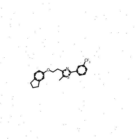 Cc1sc(-c2cccc(C(F)(F)F)c2)nc1CCOc1ccc2c(c1)CCC2